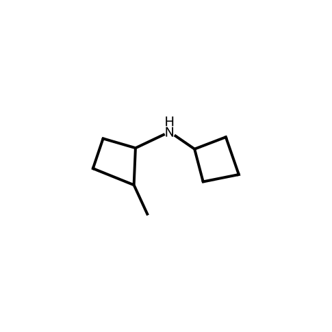 CC1CCC1NC1CCC1